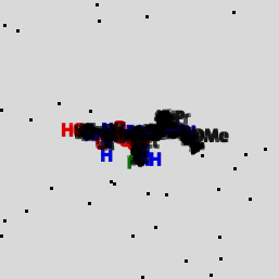 CCOc1nc2[nH]cc(F)c2cc1Oc1cc(N2CCC3(CC2)CC(N2CCN(Cc4ccc(C5CC5)c(OC)n4)C[C@H]2c2ccccc2C(C)C)C3)ccc1C(=O)NS(=O)(=O)c1cnc(NC[C@H]2CC[C@](C)(O)CC2)c([NH+](C)[O-])c1